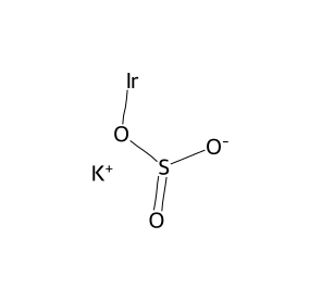 O=S([O-])[O][Ir].[K+]